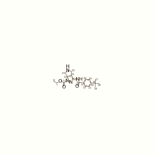 CCOC(=O)n1nc(NC(=O)c2ccc(C(C)(C)C)cc2)c2c1CNC2